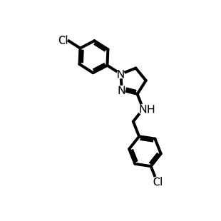 Clc1ccc(CNC2=NN(c3ccc(Cl)cc3)CC2)cc1